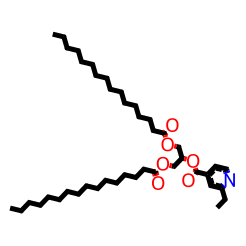 CCCCCCCCCCCCCCCC(=O)OCC(COC(=O)CCCCCCCCCCCCCCC)OC(=O)c1ccnc(CC)c1